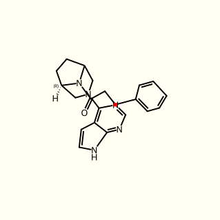 O=C(CCc1ccccc1)N1C2CC[C@@H]1CN(c1ncnc3[nH]ccc13)C2